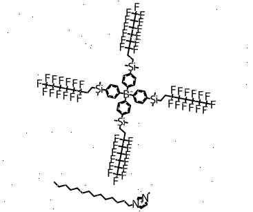 CCCCCCCCCCCCCC[n+]1ccn(C)c1.C[Si](C)(CCC(F)(F)C(F)(F)C(F)(F)C(F)(F)C(F)(F)C(F)(F)F)c1ccc([B-](c2ccc([Si](C)(C)CCC(F)(F)C(F)(F)C(F)(F)C(F)(F)C(F)(F)C(F)(F)F)cc2)(c2ccc([Si](C)(C)CCC(F)(F)C(F)(F)C(F)(F)C(F)(F)C(F)(F)C(F)(F)F)cc2)c2ccc([Si](C)(C)CCC(F)(F)C(F)(F)C(F)(F)C(F)(F)C(F)(F)C(F)(F)F)cc2)cc1